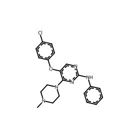 CN1CCN(c2nc(Nc3ccccc3)ncc2Oc2ccc(Cl)cc2)CC1